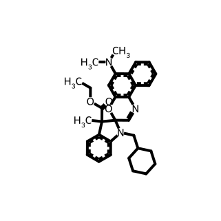 CCOC(=O)C1(C)c2ccccc2N(CC2CCCCC2)C12C=Nc1c(cc(N(C)C)c3ccccc13)O2